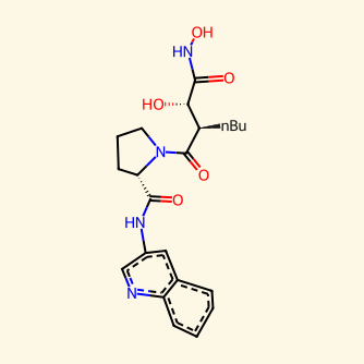 CCCC[C@@H](C(=O)N1CCC[C@H]1C(=O)Nc1cnc2ccccc2c1)[C@H](O)C(=O)NO